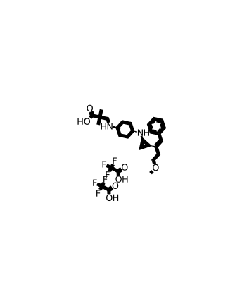 COCCC(=Cc1ccccc1)[C@@H]1C[C@H]1N[C@H]1CC[C@H](NCC(C)(C)C(=O)O)CC1.O=C(O)C(F)(F)F.O=C(O)C(F)(F)F